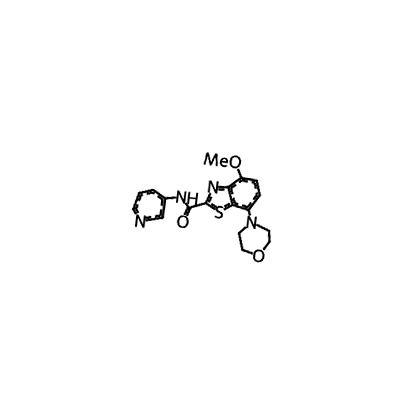 COc1ccc(N2CCOCC2)c2sc(C(=O)Nc3cccnc3)nc12